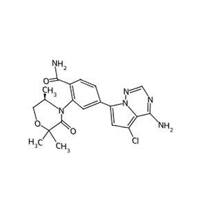 C[C@@H]1COC(C)(C)C(=O)N1c1cc(-c2cc(Cl)c3c(N)ncnn23)ccc1C(N)=O